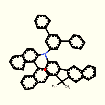 CC1(C)c2ccc(N(c3cc(-c4ccccc4)cc(-c4ccccc4)c3)c3ccc4ccccc4c3-c3cccc4ccccc34)cc2-c2cc3ccccc3cc21